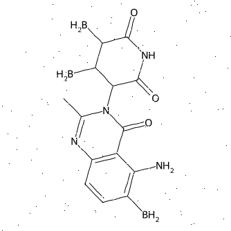 Bc1ccc2nc(C)n(C3C(=O)NC(=O)C(B)C3B)c(=O)c2c1N